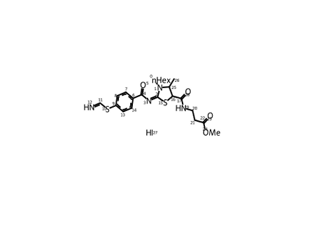 CCCCCCN1C(=NC(=O)c2ccc(SC=N)cc2)SC(C(=O)NCCC(=O)OC)C1C.I